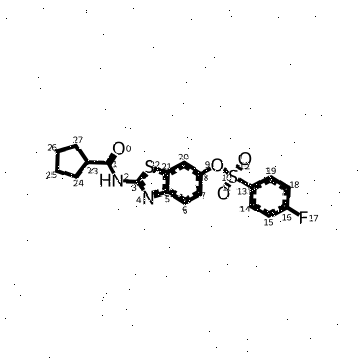 O=C(Nc1nc2ccc(OS(=O)(=O)c3ccc(F)cc3)cc2s1)C1CCCC1